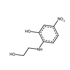 O=[N+]([O-])c1ccc(NCCO)c(O)c1